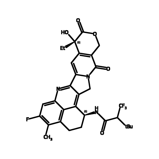 CC[C@@]1(O)C(=O)OCc2c1cc1n(c2=O)Cc2c-1nc1cc(F)c(C)c3c1c2[C@@H](NC(=O)C(C(C)(C)C)C(F)(F)F)CC3